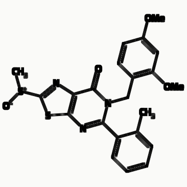 COc1ccc(Cn2c(-c3ccccc3C)nc3sc([S+](C)[O-])nc3c2=O)c(OC)c1